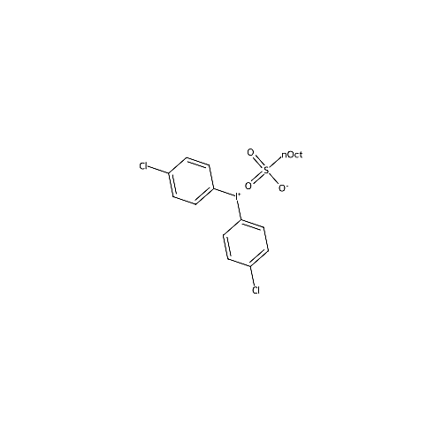 CCCCCCCCS(=O)(=O)[O-].Clc1ccc([I+]c2ccc(Cl)cc2)cc1